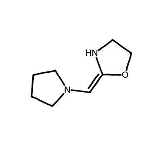 C(=C1NCCO1)N1CCCC1